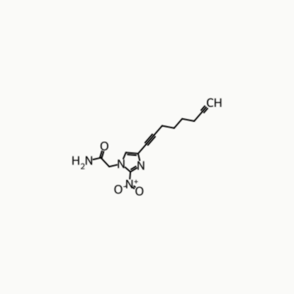 C#CCCCCC#Cc1cn(CC(N)=O)c([N+](=O)[O-])n1